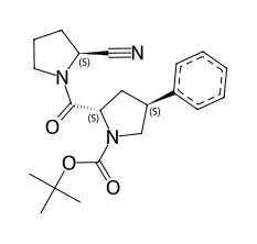 CC(C)(C)OC(=O)N1C[C@H](c2ccccc2)C[C@H]1C(=O)N1CCC[C@H]1C#N